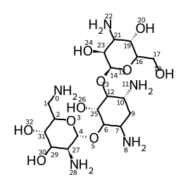 NCC1O[C@H](OC2C(N)C[C@@H](N)C(O[C@@H]3OC(CO)[C@@H](O)C(N)[C@@H]3O)[C@H]2O)[C@@H](N)C(O)[C@@H]1O